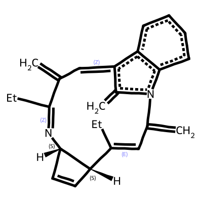 C=C1/C=c2\c(=C)n(c3ccccc23)C(=C)/C=C(\CC)[C@@H]2C=C[C@@H]2/N=C\1CC